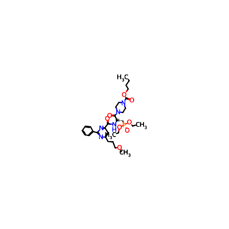 CCCCOC(=O)N1CCN(C(=O)[C@H](CP(=O)(OCC)OCC)NC(=O)c2cc(CCCOC)nc(-c3ccccc3)n2)CC1